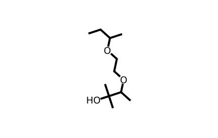 CCC(C)OCCOC(C)C(C)(C)O